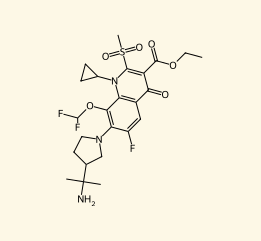 CCOC(=O)c1c(S(C)(=O)=O)n(C2CC2)c2c(OC(F)F)c(N3CCC(C(C)(C)N)C3)c(F)cc2c1=O